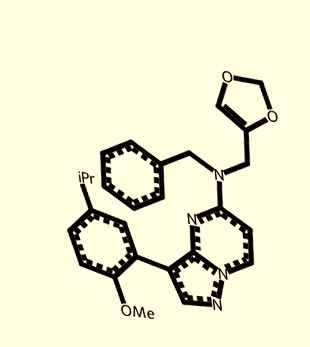 COc1ccc(C(C)C)cc1-c1cnn2ccc(N(CC3=COCO3)Cc3ccccc3)nc12